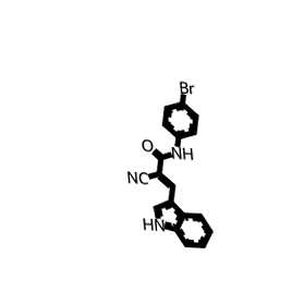 N#C/C(=C\c1c[nH]c2ccccc12)C(=O)Nc1ccc(Br)cc1